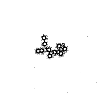 c1ccc(-c2ccc(N(c3cccc(-c4ccccc4-c4ccc5c(c4)c4ccccc4n5-c4cccc5oc6ccccc6c45)c3)c3ccc4ccccc4c3)cc2)cc1